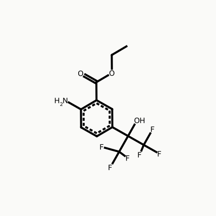 CCOC(=O)c1cc(C(O)(C(F)(F)F)C(F)(F)F)ccc1N